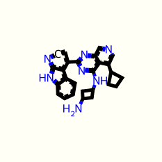 NC1CC(Nc2nc(-c3ccnc4[nH]c5ccccc5c34)nc3cncc(C4CCC4)c23)C1